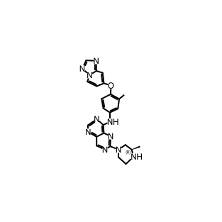 Cc1cc(Nc2ncnc3cnc(N4CCN[C@H](C)C4)nc23)ccc1Oc1ccn2ncnc2c1